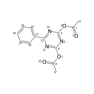 CC(=O)Oc1nc(OC(C)=O)nc(-c2ccccc2)n1